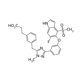 Cn1nc(-c2cccc(Oc3c(F)cc4[nH]ccc4c3S(C)(=O)=O)c2)nc1Cc1cccc(CCC(=O)O)c1